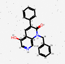 O=c1c(-c2ccccc2)cc2c(O)cncc2n1Cc1ccccc1